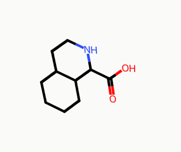 O=C(O)C1NCCC2CCCCC21